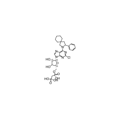 O=P(O)(O)CP(=O)(O)OC[C@H]1O[C@@H](n2cnc3c(N4CC5(CCCCC5)CC4c4ccccc4)nc(Cl)nc32)[C@@H](O)C1O